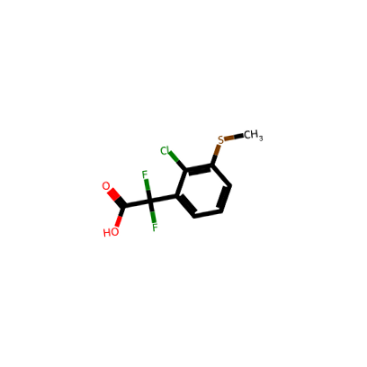 CSc1cccc(C(F)(F)C(=O)O)c1Cl